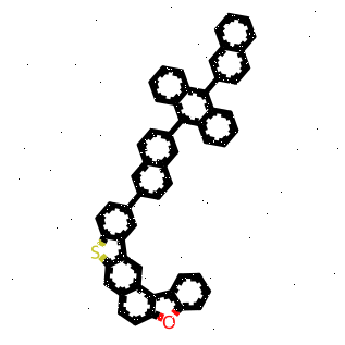 c1ccc2cc(-c3c4ccccc4c(-c4ccc5cc(-c6ccc7sc8cc9ccc%10oc%11ccccc%11c%10c9cc8c7c6)ccc5c4)c4ccccc34)ccc2c1